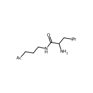 CC(=O)CCCNC(=O)C(N)CC(C)C